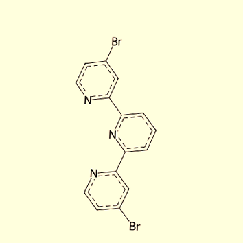 Brc1ccnc(-c2cccc(-c3cc(Br)ccn3)n2)c1